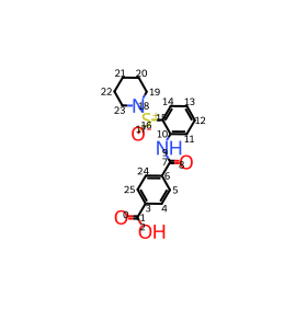 O=C(O)c1ccc(C(=O)Nc2ccccc2[S+]([O-])N2CCCCC2)cc1